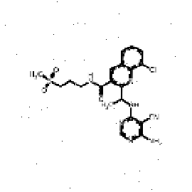 CC(Nc1ncnc(N)c1C#N)c1nc2c(Cl)cccc2cc1C(=O)NCCCS(C)(=O)=O